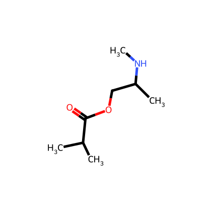 CNC(C)COC(=O)C(C)C